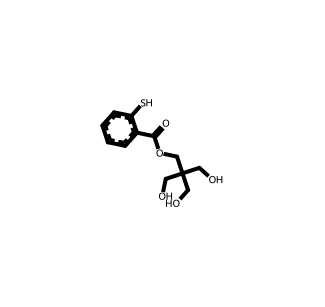 O=C(OCC(CO)(CO)CO)c1ccccc1S